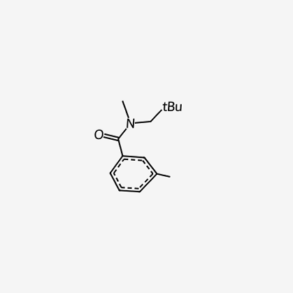 Cc1cccc(C(=O)N(C)CC(C)(C)C)c1